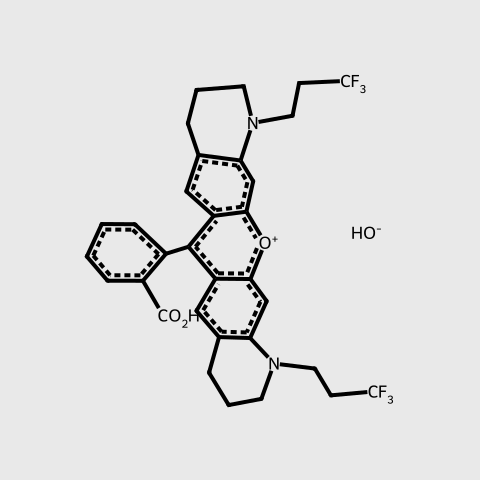 O=C(O)c1ccccc1-c1c2cc3c(cc2[o+]c2cc4c(cc12)CCCN4CCC(F)(F)F)N(CCC(F)(F)F)CCC3.[OH-]